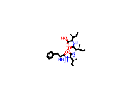 CC[C@H](C)[C@H](NC(=O)[C@@H](NC(=O)[C@@H](NC(=O)[C@@H](N)Cc1ccccc1)[C@@H](C)CC)[C@@H](C)CC)C(=O)O